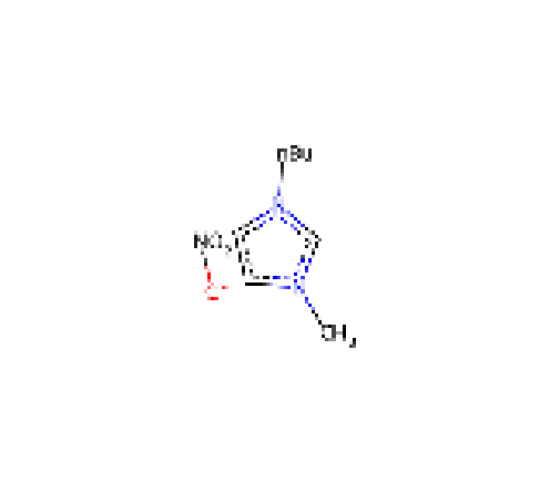 CCCC[n+]1ccn(C)c1.O=[N+]([O-])[O-]